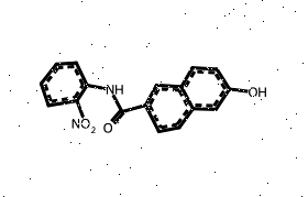 O=C(Nc1ccccc1[N+](=O)[O-])c1ccc2cc(O)ccc2c1